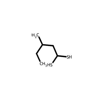 [CH2]C(CC)CC(S)S